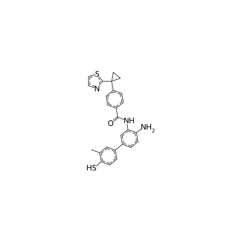 Cc1cc(-c2ccc(N)c(NC(=O)c3ccc(C4(c5nccs5)CC4)cc3)c2)ccc1S